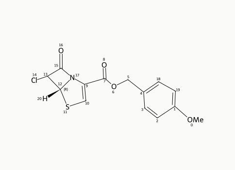 COc1ccc(COC(=O)C2=CS[C@@H]3C(Cl)C(=O)N23)cc1